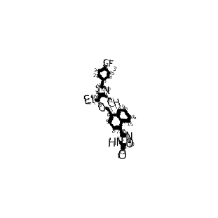 CCC(OCc1ccc(-c2noc(=O)[nH]2)c2ccccc12)c1sc(-c2ccc(C(F)(F)F)cc2)nc1C